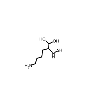 NCCCCC(NS)C(O)O